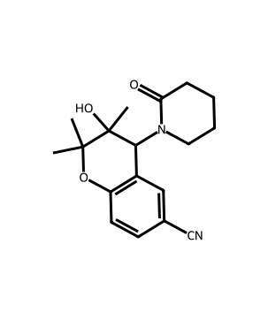 CC1(C)Oc2ccc(C#N)cc2C(N2CCCCC2=O)C1(C)O